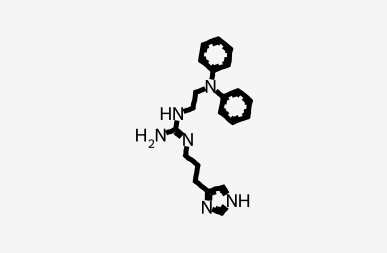 NC(=NCCCc1c[nH]cn1)NCCN(c1ccccc1)c1ccccc1